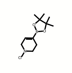 CC1(C)OB(C2=CCN(Cl)CC2)OC1(C)C